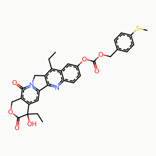 CCc1c2c(nc3ccc(OC(=O)OCc4ccc(SC)cc4)cc13)-c1cc3c(c(=O)n1C2)COC(=O)C3(O)CC